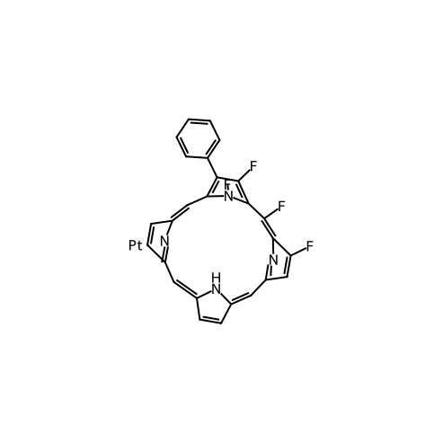 FC1=Cc2cc3ccc(cc4nc(cc5c(-c6ccccc6)c(F)c(c(F)c1n2)n5F)C=C4)[nH]3.[Pt]